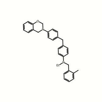 CCN(Cc1ccccc1C)c1ccc(Cc2ccc(N3COc4ccccc4C3)cc2)cc1